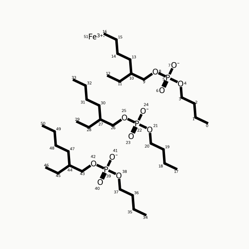 CCCCOP(=O)([O-])OCC(CC)CCCC.CCCCOP(=O)([O-])OCC(CC)CCCC.CCCCOP(=O)([O-])OCC(CC)CCCC.[Fe+3]